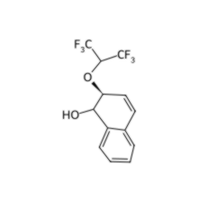 OC1c2ccccc2C=C[C@@H]1OC(C(F)(F)F)C(F)(F)F